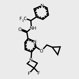 O=C(NC(c1cccnc1)C(F)(F)F)c1ccc(N2CC(F)(F)C2)c(OCC2CC2)n1